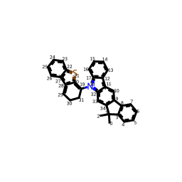 CC1(C)c2ccccc2-c2cc3c4ccccc4n(C4=c5sc6ccccc6c5=CCC4)c3cc21